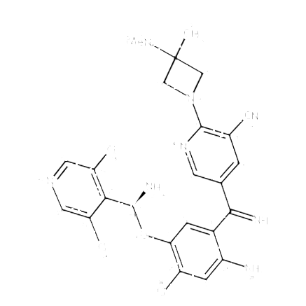 CNC1(C)CN(c2ncc(C(=N)c3cc(O[C@H](N)c4c(Cl)cncc4Cl)c(Cl)cc3N)cc2C#N)C1